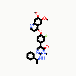 COc1cc2nccc(Oc3ccc(-c4cnc(NC(C)c5ccccc5)n(C)c4=O)cc3F)c2cc1OC